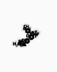 COc1ccc(-n2nc(C(F)(F)F)c3c2C(=O)N(c2ccc(C4(N(C)S(C)(=O)=O)CC4)cc2)CC3)cc1